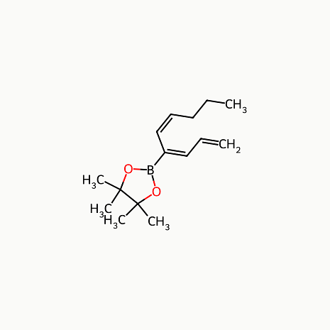 C=C/C=C(\C=C/CCC)B1OC(C)(C)C(C)(C)O1